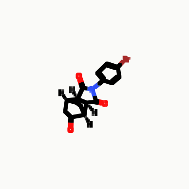 O=C1C[C@@H]2CC[C@H]1[C@@H]1C(=O)N(c3ccc(Br)cc3)C(=O)[C@H]21